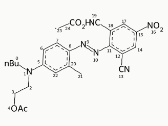 CCCCN(CCOC(C)=O)c1ccc(N=Nc2c(C#N)cc([N+](=O)[O-])cc2C#N)c(C)c1.[CH2]C(=O)O